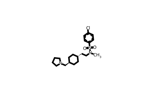 CN(CC[C@H]1CC[C@H](CN2CCCC2)CC1)S(=O)(=O)c1ccc(Cl)cc1